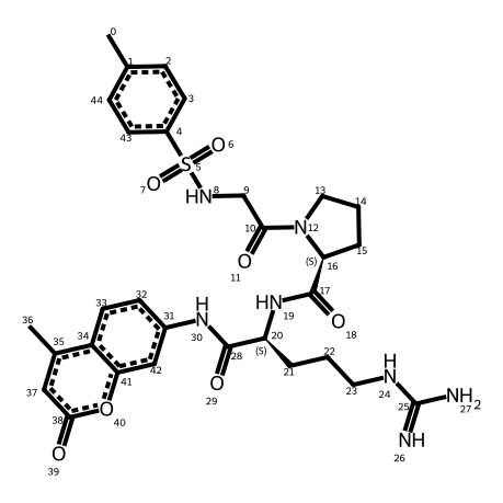 Cc1ccc(S(=O)(=O)NCC(=O)N2CCC[C@H]2C(=O)N[C@@H](CCCNC(=N)N)C(=O)Nc2ccc3c(C)cc(=O)oc3c2)cc1